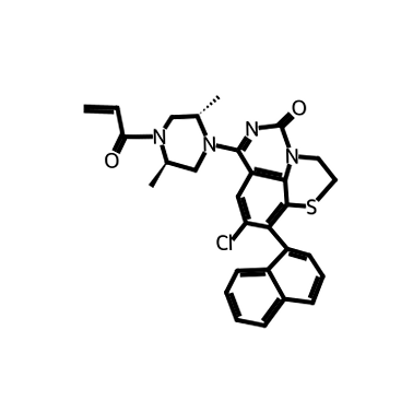 C=CC(=O)N1C[C@H](C)N(c2nc(=O)n3c4c(c(-c5cccc6ccccc56)c(Cl)cc24)SCC3)C[C@H]1C